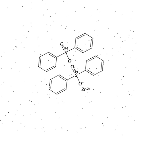 O=[SH]([O-])(c1ccccc1)c1ccccc1.O=[SH]([O-])(c1ccccc1)c1ccccc1.[Zn+2]